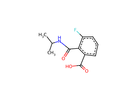 CC(C)NC(=O)c1c(F)cccc1C(=O)O